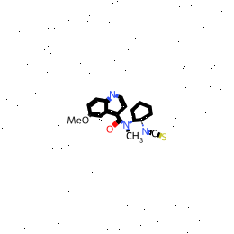 COc1ccc2nccc(C(=O)N(C)[C@H]3CCCC[C@@H]3N=C=S)c2c1